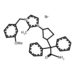 COc1cccc(C[n+]2ccn(C3CCC(C(C(N)=O)(c4ccccc4)c4ccccc4)C3)c2C)c1.[Br-]